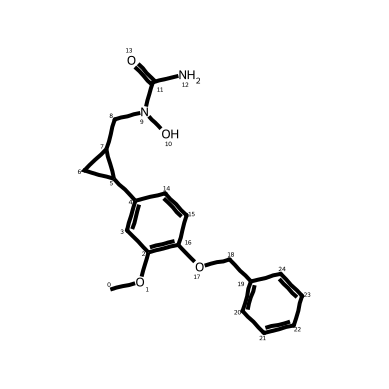 COc1cc(C2CC2CN(O)C(N)=O)ccc1OCc1ccccc1